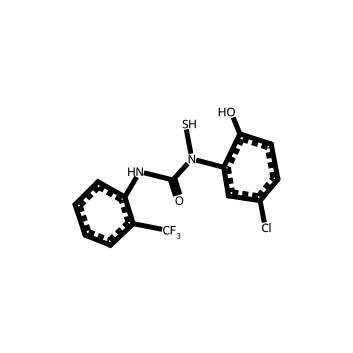 O=C(Nc1ccccc1C(F)(F)F)N(S)c1cc(Cl)ccc1O